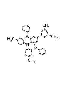 Cc1cc(C)cc(-c2cc3c4c(c2)P(c2ccccc2)c2cc(C)ccc2N4c2ccc(C)cc2P3c2ccccc2)c1